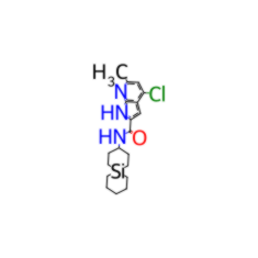 Cc1cc(Cl)c2cc(C(=O)NC3CC[Si]4(CCCCC4)CC3)[nH]c2n1